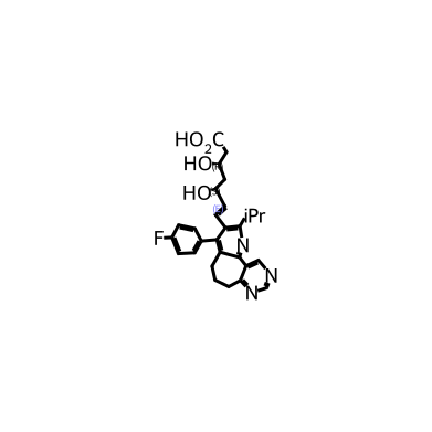 CC(C)c1nc2c(c(-c3ccc(F)cc3)c1/C=C/[C@@H](O)C[C@@H](O)CC(=O)O)CCCc1ncncc1-2